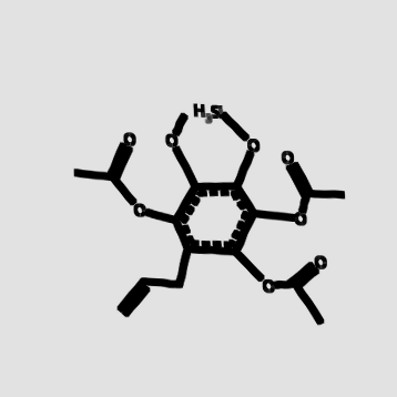 C=CCc1c(OC(C)=O)c(OC)c(O[SiH3])c(OC(C)=O)c1OC(C)=O